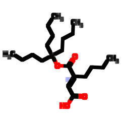 CCCC/C(=C\C(=O)O)C(=O)O[Si](CCCC)(CCCC)CCCC